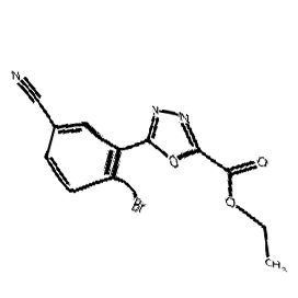 CCOC(=O)c1nnc(-c2cc(C#N)ccc2Br)o1